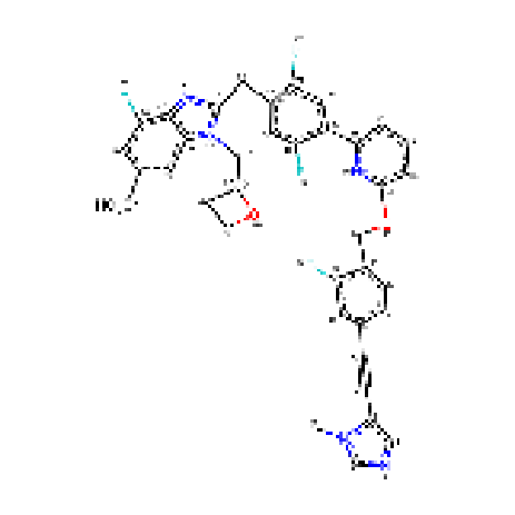 Cn1cncc1C#Cc1ccc(COc2cccc(-c3cc(F)c(Cc4nc5c(F)cc(C(=O)O)cc5n4C[C@@H]4CCO4)cc3F)n2)c(F)c1